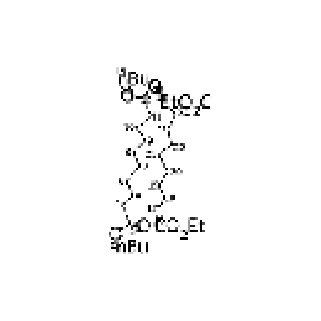 CCCCOC(=O)CCCCCCCCC(=O)OCCCC.CCOC(=O)CCCCCCCCC(=O)OCC